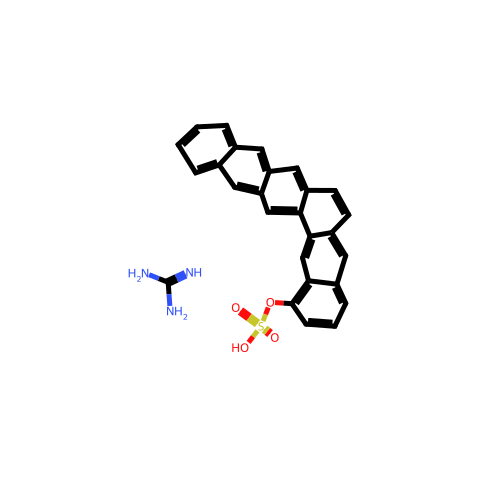 N=C(N)N.O=S(=O)(O)Oc1cccc2cc3ccc4cc5cc6ccccc6cc5cc4c3cc12